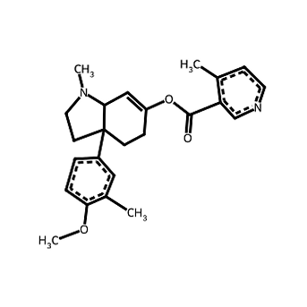 COc1ccc(C23CCC(OC(=O)c4cnccc4C)=CC2N(C)CC3)cc1C